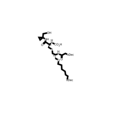 CCCCCCCCCCCCCCCCOC[C@H](CSC[C@H](NC(=O)O)C(=O)NC1(CO)CC1)NC(=O)CCCCCCCCCCC